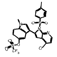 Cc1ccc(S(=O)(=O)n2c(-c3cn(C)c4ccc(OS(=O)(=O)C(F)(F)F)cc34)cc3c(Cl)ccnc32)cc1